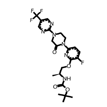 C[C@@H](COc1nc(N2CCN(c3ncc(C(F)(F)F)cn3)CC2=O)ccc1F)NC(=O)OC(C)(C)C